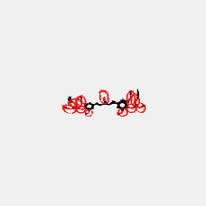 CCOC(OC)Oc1c(OC)cc(/C=C/C(=O)/C=C/c2cc(OC)c(OC(OC)OCC)c(OC)c2)cc1OC